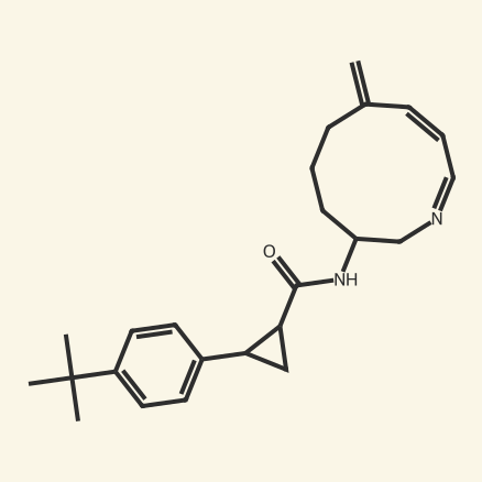 C=C1/C=C\C=N/CC(NC(=O)C2CC2c2ccc(C(C)(C)C)cc2)CCC1